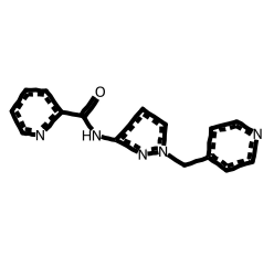 O=C(Nc1ccn(Cc2ccncc2)n1)c1ccccn1